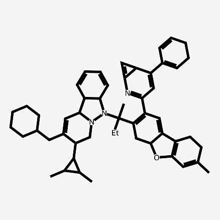 CCC(C)(C1=C(C2=NC3=CC3C(C3=CCCC=C3)=C2)C=C2C3=C(C=C(C)CC3)OC2C1)N1C2C=CC=CC2C2C=C(CC3CCCCC3)C(C3C(C)C3C)CN21